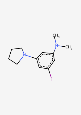 CN(C)c1cc(I)cc(N2CCCC2)c1